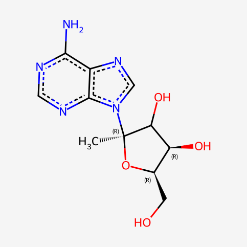 C[C@@]1(n2cnc3c(N)ncnc32)O[C@H](CO)[C@H](O)C1O